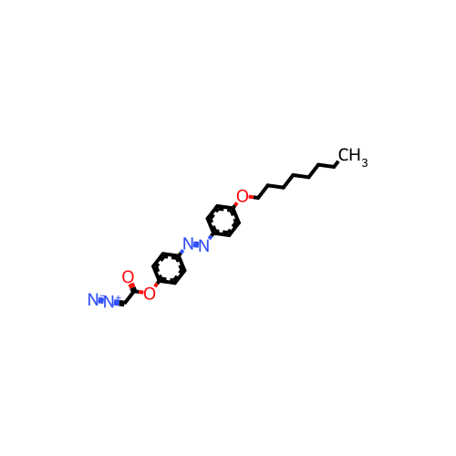 CCCCCCCCOc1ccc(/N=N/c2ccc(OC(=O)C=[N+]=[N-])cc2)cc1